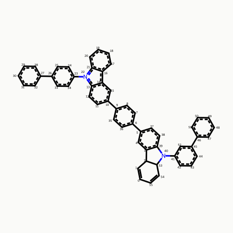 C1=CC2c3cc(-c4ccc(-c5ccc6c(c5)c5ccccc5n6-c5ccc(-c6ccccc6)cc5)cc4)ccc3N(c3cccc(-c4ccccc4)c3)C2C=C1